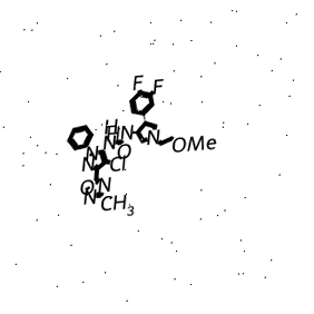 COCCN1C[C@@H](NC(=O)Nc2c(Cl)c(-c3nc(C)no3)nn2-c2ccccc2)[C@H](c2ccc(F)c(F)c2)C1